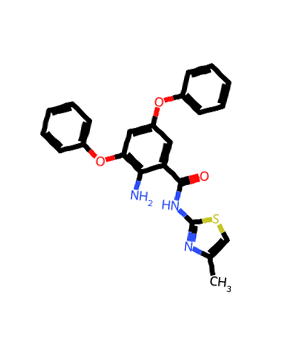 Cc1csc(NC(=O)c2cc(Oc3ccccc3)cc(Oc3ccccc3)c2N)n1